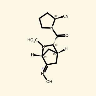 N#C[C@@H]1CCCN1C(=O)[C@@H]1[C@@H]2C/C(=N\O)[C@@H](C2)N1C(=O)O